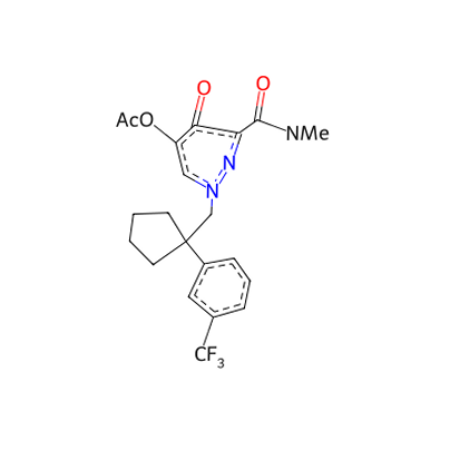 CNC(=O)c1nn(CC2(c3cccc(C(F)(F)F)c3)CCCC2)cc(OC(C)=O)c1=O